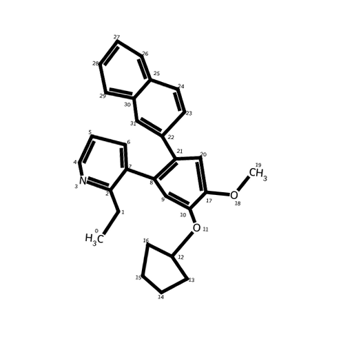 CCc1ncccc1-c1cc(OC2CCCC2)c(OC)cc1-c1ccc2ccccc2c1